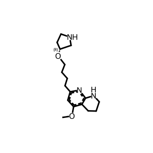 COc1cc(CCCCO[C@@H]2CCNC2)nc2c1CCCN2